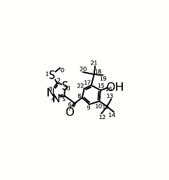 CSc1nnc(C(=O)c2cc(C(C)(C)C)c(O)c(C(C)(C)C)c2)s1